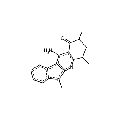 CC1CC(C)c2nc3c(c(N)c2C1=O)c1ccccc1n3C